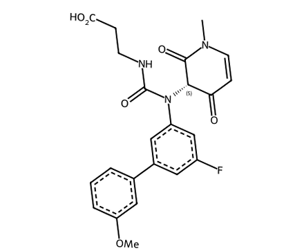 COc1cccc(-c2cc(F)cc(N(C(=O)NCCC(=O)O)[C@H]3C(=O)C=CN(C)C3=O)c2)c1